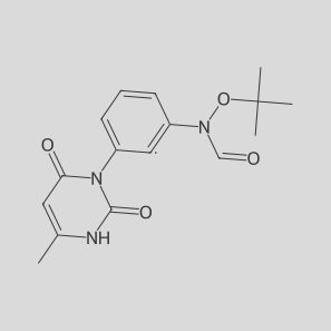 Cc1cc(=O)n(-c2[c]c(N(C=O)OC(C)(C)C)ccc2)c(=O)[nH]1